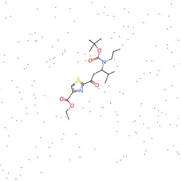 CCCN(C(=O)OC(C)(C)C)C(CC(=O)c1nc(C(=O)OCC)cs1)C(C)C